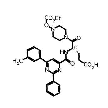 CCOC(=O)ON1CCN(C(=O)[C@H](CCC(=O)O)NC(=O)c2cc(-c3cccc(C)c3)nc(-c3ccccc3)n2)CC1